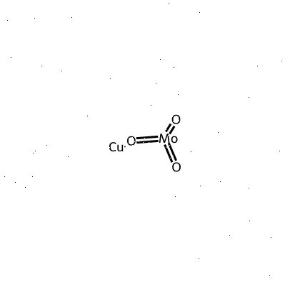 [Cu].[O]=[Mo](=[O])=[O]